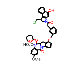 COc1ccc2c(c1)C(=O)N1c3cccc(OCc4cccc(CC(=O)N5C[C@@H](CCl)c6c5cc(O)c5ccccc65)c4)c3CC1C(OC1CCCCO1)N2C(=O)O